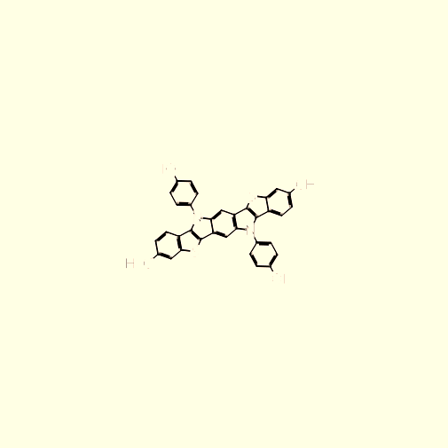 Cc1ccc2c(c1)sc1c3cc4c(cc3n(-c3ccc(O)cc3)c21)c1sc2cc(C)ccc2c1n4-c1ccc(O)cc1